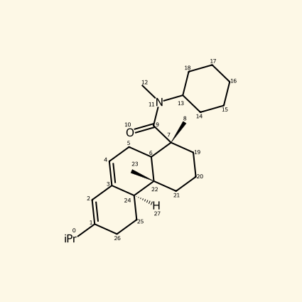 CC(C)C1=CC2=CCC3[C@](C)(C(=O)N(C)C4CCCCC4)CCC[C@]3(C)[C@H]2CC1